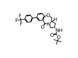 CC(C)(C)OC(=O)N[C@H]1C[C@H]2COc3ccc(-c4ccc(C(F)(F)F)cc4)cc3C(=O)N2C1